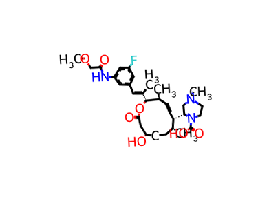 COCC(=O)Nc1cc(F)cc(/C=C(\C)[C@H]2OC(=O)C[C@@H](O)CC[C@@H](C)[C@@H](C3CN(C)CCN3C(=O)O)/C=C/[C@@H]2C)c1